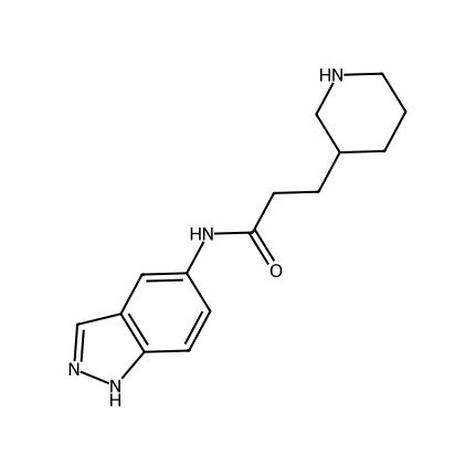 O=C(CCC1CCCNC1)Nc1ccc2[nH]ncc2c1